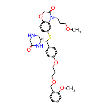 COCCCN1C(=O)COc2ccc(SC(c3ccc(OCCCOCc4ccccc4OC)cc3)[C@H]3CNCC(=O)N3)cc21